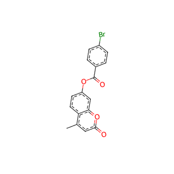 Cc1cc(=O)oc2cc(OC(=O)c3ccc(Br)cc3)ccc12